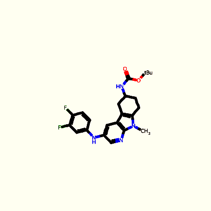 Cn1c2c(c3cc(Nc4ccc(F)c(F)c4)cnc31)CC(NC(=O)OC(C)(C)C)CC2